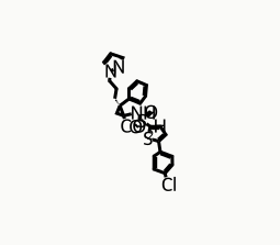 O=C(O)C1(NS(=O)(=O)c2ccc(-c3ccc(Cl)cc3)s2)C[C@@]1(CCCn1cccn1)c1ccccc1